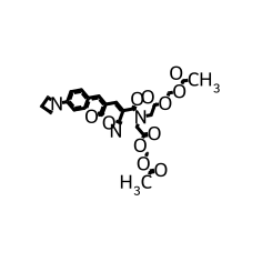 CC(=O)OCOC(=O)CN(CC(=O)OCOC(C)=O)C(=O)/C(C#N)=C/c1cc2ccc(N3CCC3)cc2oc1=O